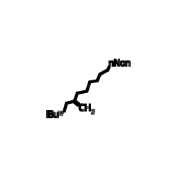 C=C(CCCCCCCCCCCCCCC)CC[C@@H](C)CC